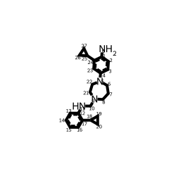 Nc1ccc(N2CCCN(CNc3ccccc3C3CC3)CC2)cc1C1CC1